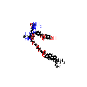 CC(C)CCCC(C)C1CCC2C3CC=C4CC(OC(=O)CCOCCOCCOCCC(=O)NC(C(=O)NC(CCCNC(N)=O)C(=O)Nc5ccc(COC(=O)Oc6ccc(O)cc6)cc5)C(C)C)CCC4(C)C3CCC12C